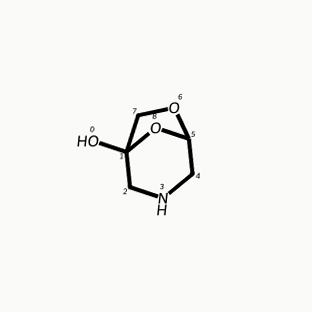 OC12CNCC(OC1)O2